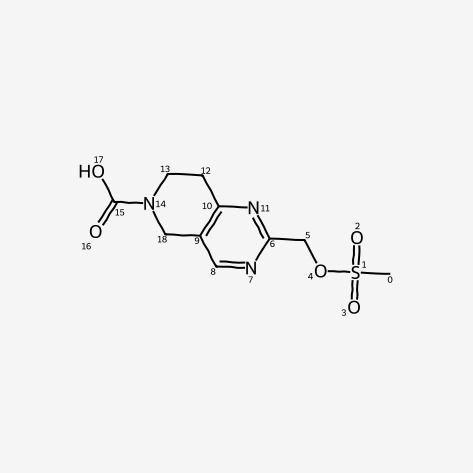 CS(=O)(=O)OCc1ncc2c(n1)CCN(C(=O)O)C2